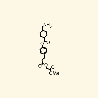 COC(=O)COC(=O)CCc1ccc(OC(=O)C2CCC(CN)CC2)cc1